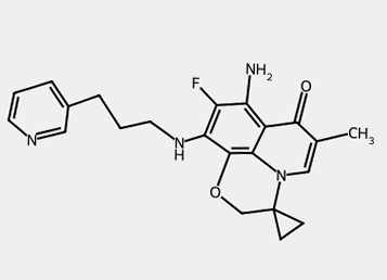 Cc1cn2c3c(c(NCCCc4cccnc4)c(F)c(N)c3c1=O)OCC21CC1